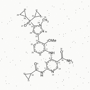 COc1c(Nc2cc(NC(=O)C3CC3)ncc2C(N)=O)cccc1-c1cc(P(=O)(C2CC2)C2CC2)n(C)n1